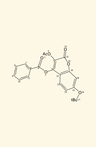 CC(=O)Oc1c(OC(=O)c2ccccc2)c2ccc(OC(C)(C)C)cc2oc1=O